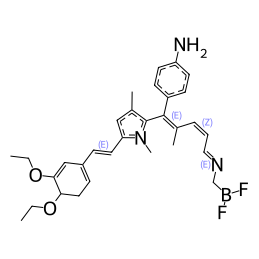 CCOC1=CC(/C=C/c2cc(C)c(/C(=C(C)/C=C\C=N\CB(F)F)c3ccc(N)cc3)n2C)=CCC1OCC